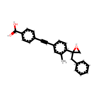 Cc1cc(C#Cc2ccc(C(=O)O)cc2)ccc1C1(Cc2ccccc2)CO1